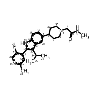 CNC(=O)CN1CCC(c2ccc3[nH]c(-c4cc(C)ncc4F)c(C(C)C)c3c2)CC1